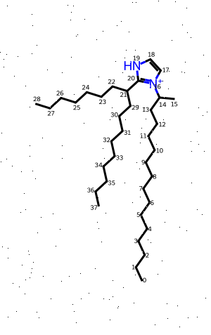 CCCCCCCCCCCCCCC(C)[n+]1cc[nH]c1C(CCCCCCC)CCCCCCCCC